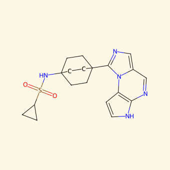 O=S(=O)(NC12CCC(c3ncc4cnc5[nH]ccc5n34)(CC1)CC2)C1CC1